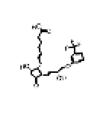 O=C(O)CCCC=CC[C@H]1[C@@H](O)CC(=O)[C@@H]1C=C[C@@H](O)COc1cccc(C(F)(F)F)c1